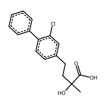 CC(O)(CCc1ccc(-c2ccccc2)c(Cl)c1)C(=O)O